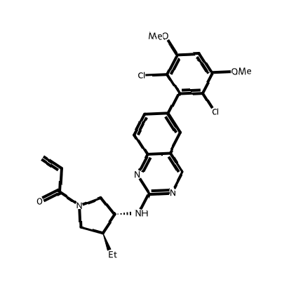 C=CC(=O)N1C[C@H](CC)[C@@H](Nc2ncc3cc(-c4c(Cl)c(OC)cc(OC)c4Cl)ccc3n2)C1